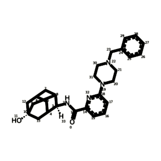 O=C(N[C@H]1C2CC3CC1C[C@](O)(C3)C2)c1cccc(N2CCN(Cc3ccccc3)CC2)n1